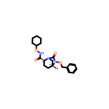 O=C(NOC1CCCCC1)[C@@H]1CC[C@@H]2CN1C(=O)N2OCc1ccccc1